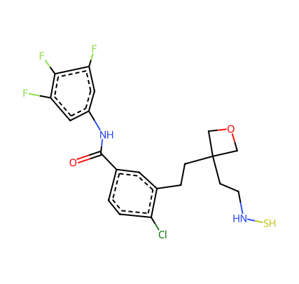 O=C(Nc1cc(F)c(F)c(F)c1)c1ccc(Cl)c(CCC2(CCNS)COC2)c1